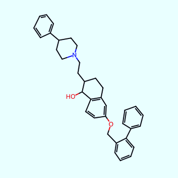 OC1c2ccc(OCc3ccccc3-c3ccccc3)cc2CCC1CCN1CCC(c2ccccc2)CC1